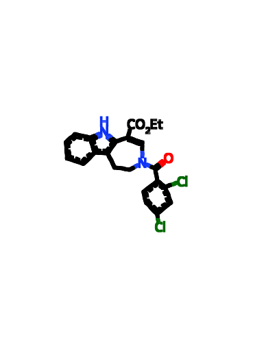 CCOC(=O)C1=CN(C(=O)c2ccc(Cl)cc2Cl)CCc2c1[nH]c1ccccc21